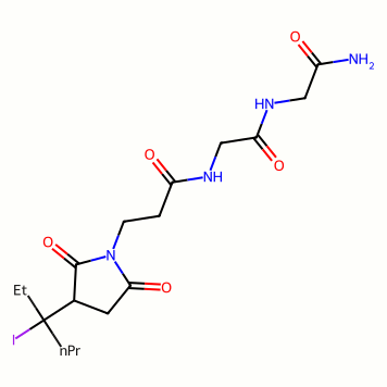 CCCC(I)(CC)C1CC(=O)N(CCC(=O)NCC(=O)NCC(N)=O)C1=O